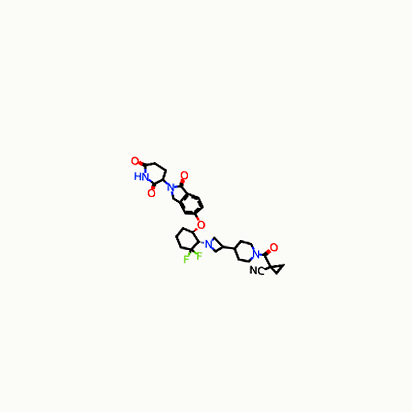 N#CC1(C(=O)N2CCC(C3CN([C@H]4[C@H](Oc5ccc6c(c5)CN(C5CCC(=O)NC5=O)C6=O)CCCC4(F)F)C3)CC2)CC1